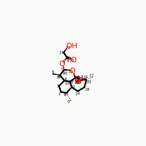 C[C@@H]1CCC2[C@@H](C)[C@@H](OC(=O)CO)O[C@@H]3O[C@]4(C)CCC1[C@@]23OO4